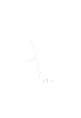 CCCCCCCCCCC([O])CSCC[O]